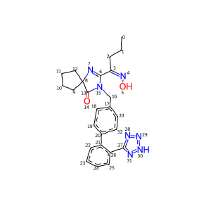 CCC/C(=N/O)C1=NC2(CCCC2)C(=O)N1Cc1ccc(-c2ccccc2-c2nn[nH]n2)cc1